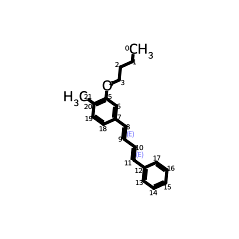 CCCCOc1cc(/C=C/C=C/c2ccccc2)ccc1C